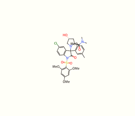 COc1cc(OC)c(S(=O)(=O)N2C(=O)C(c3cc(C)ccc3OC)(N3C[C@H](O)C[C@H]3C(=O)N(C)C)c3cc(Cl)ccc32)c(OC)c1